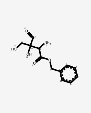 NC(C(=O)OCc1ccccc1)C(O)(C=O)CO